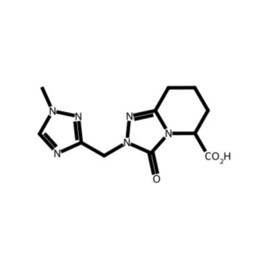 Cn1cnc(Cn2nc3n(c2=O)C(C(=O)O)CCC3)n1